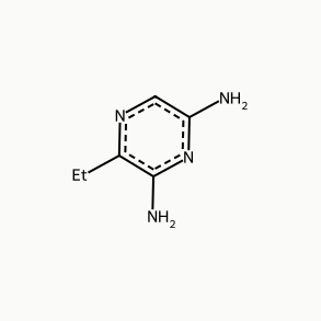 CCc1ncc(N)nc1N